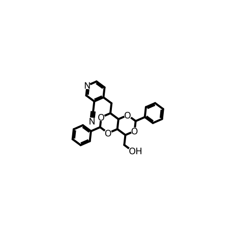 N#Cc1cnccc1CC1OC(c2ccccc2)OC2C(CO)OC(c3ccccc3)OC12